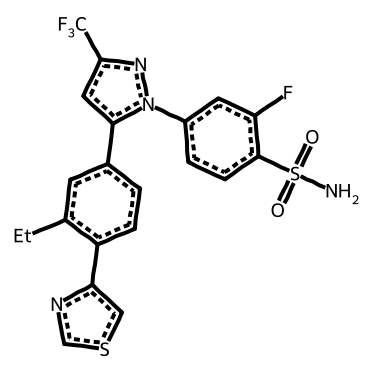 CCc1cc(-c2cc(C(F)(F)F)nn2-c2ccc(S(N)(=O)=O)c(F)c2)ccc1-c1cscn1